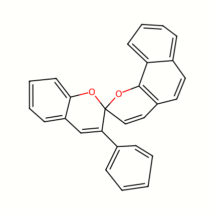 C1=CC2(Oc3ccccc3C=C2c2ccccc2)Oc2c1ccc1ccccc21